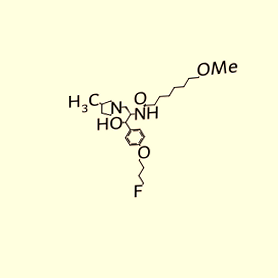 COCCCCCCCC(=O)N[C@H](CN1CC[C@@H](C)C1)[C@H](O)c1ccc(OCCCCF)cc1